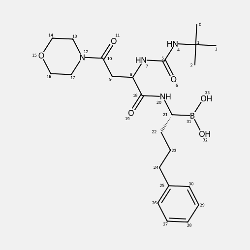 CC(C)(C)NC(=O)NC(CC(=O)N1CCOCC1)C(=O)N[C@@H](CCCc1ccccc1)B(O)O